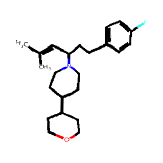 CC(C)=CC(CCc1ccc(F)cc1)N1CCC(C2CCOCC2)CC1